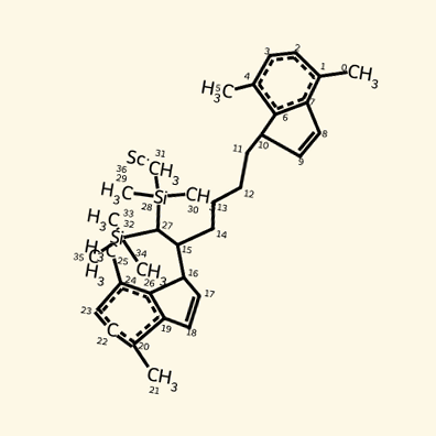 Cc1ccc(C)c2c1C=CC2CCCCC(C1C=Cc2c(C)ccc(C)c21)C([Si](C)(C)C)[Si](C)(C)C.[Sc]